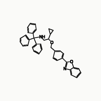 c1ccc(C(NCC(OCc2ccc(-c3nc4ccccc4o3)cc2)C2CC2)(c2ccccc2)c2ccccc2)cc1